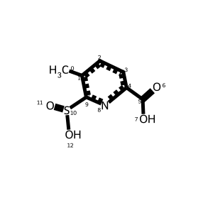 Cc1ccc(C(=O)O)nc1S(=O)O